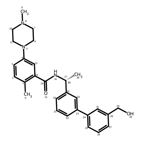 Cc1ccc(N2CCN(C)CC2)cc1C(=O)N[C@H](C)c1cccc(-c2cccc(CO)c2)c1